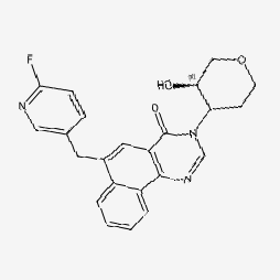 O=c1c2cc(Cc3ccc(F)nc3)c3ccccc3c2ncn1C1CCOC[C@@H]1O